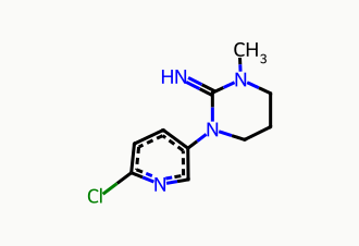 CN1CCCN(c2ccc(Cl)nc2)C1=N